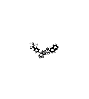 O=C(NO)c1ccc(N2CCOC(CNS(=O)(=O)c3ccc4ccccc4c3)C2)nc1